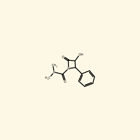 CN(C)C(=O)N1C(=O)C(O)C1c1ccccc1